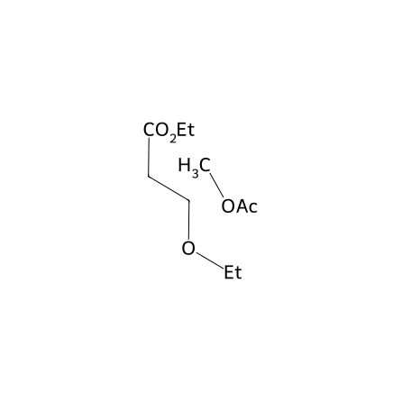 CCOCCC(=O)OCC.COC(C)=O